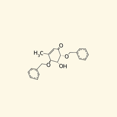 CC1=CC(=O)[C@H](OCc2ccccc2)[C@H](O)[C@H]1OCc1ccccc1